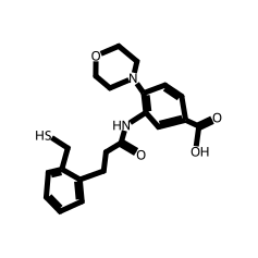 O=C(CCc1ccccc1CS)Nc1cc(C(=O)O)ccc1N1CCOCC1